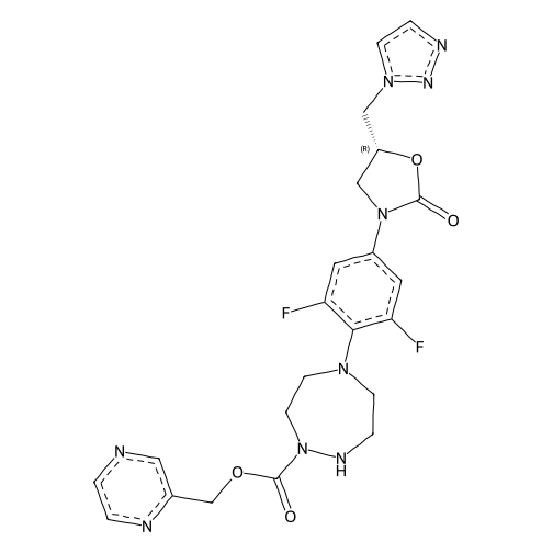 O=C(OCc1cnccn1)N1CCN(c2c(F)cc(N3C[C@H](Cn4ccnn4)OC3=O)cc2F)CCN1